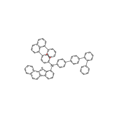 c1ccc(-c2ccccc2-c2ccc(-c3ccc(N(c4ccc(-c5cccc6cccc(-c7ccccc7)c56)cc4)c4cccc5c4sc4c6ccccc6ccc54)cc3)cc2)cc1